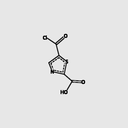 O=C(Cl)c1cnc(C(=O)O)s1